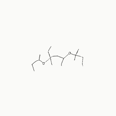 CCC(C)OC(C)(CC)CC(C)OC(C)(C)CC